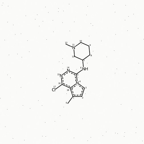 Cc1ccn2c(NC3CCCN(C)C3)nnc(Cl)c12